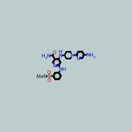 CNS(=O)(=O)c1cccc(Nc2cc(NC3CCN(c4ccc(N)cn4)CC3)c(C(N)=O)cn2)c1